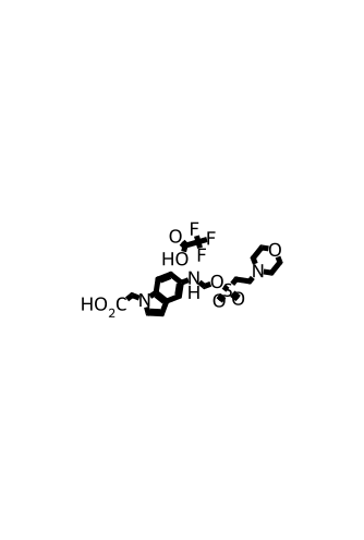 O=C(O)C(F)(F)F.O=C(O)Cn1ccc2cc(NCOS(=O)(=O)CCN3CCOCC3)ccc21